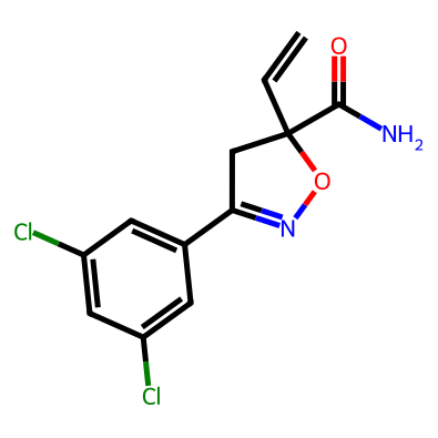 C=CC1(C(N)=O)CC(c2cc(Cl)cc(Cl)c2)=NO1